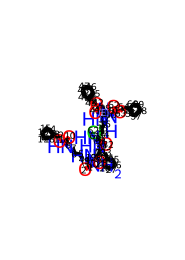 NC(=O)[C@H](CCCCNC(=O)OCc1ccccc1)NC(=O)[C@H](Cc1ccccc1)NC(=O)[C@@H](CCCN/C(=N\C(=O)OCc1ccccc1)NC(=O)OCc1ccccc1)NCl